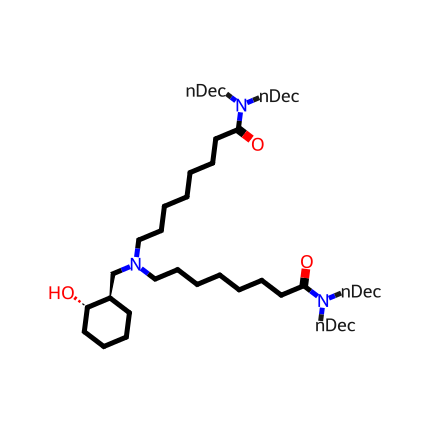 CCCCCCCCCCN(CCCCCCCCCC)C(=O)CCCCCCCN(CCCCCCCC(=O)N(CCCCCCCCCC)CCCCCCCCCC)C[C@H]1CCCC[C@@H]1O